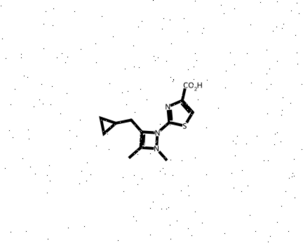 Cc1c(CC2CC2)n(-c2nc(C(=O)O)cs2)n1C